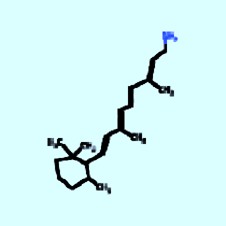 CC(/C=C/C1C(C)CCCC1(C)C)=C\C=C\C(C)=C\CN